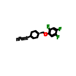 CCCCC[C@H]1CC[C@H](COc2cc(F)c(F)cc2F)CC1